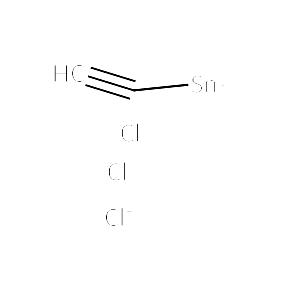 C#[C][Sn+3].[Cl-].[Cl-].[Cl-]